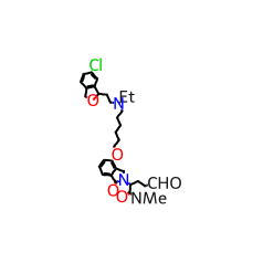 CCN(CCCCCCOc1cccc2c1CN(C(CCC=O)C(=O)NC)C2=O)CCC1OCc2ccc(Cl)cc21